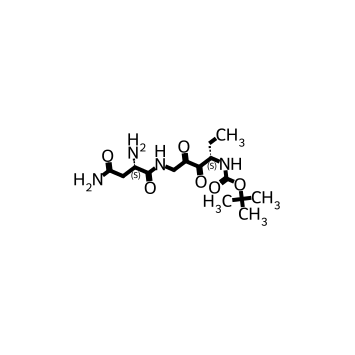 CC[C@H](NC(=O)OC(C)(C)C)C(=O)C(=O)CNC(=O)[C@@H](N)CC(N)=O